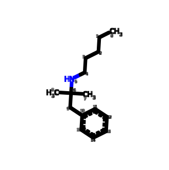 CCCCCNC(C)(C)Cc1ccccc1